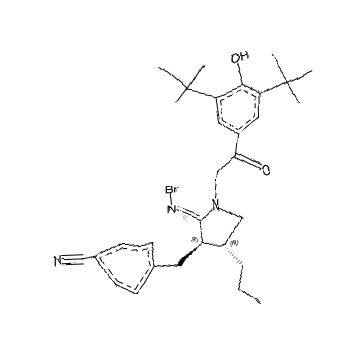 CCC[C@H]1CN(CC(=O)c2cc(C(C)(C)C)c(O)c(C(C)(C)C)c2)/C(=N\Br)[C@@H]1Cc1ccc(C#N)cc1